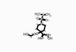 CN(C)S(=O)(=O)N1CCC(OCCO)(C(=N)NO)CC1